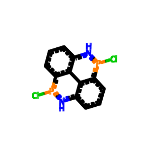 Clp1[nH]c2cccc3c2-c2c(cccc21)[nH]p3Cl